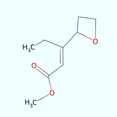 CCC(=CC(=O)OC)C1CCO1